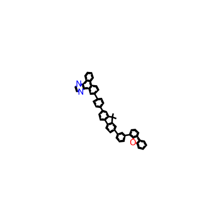 CC1(C)c2cc(-c3ccc(-c4ccc5c6ccccc6c6nccnc6c5c4)cc3)ccc2-c2ccc(-c3cccc(-c4cccc5c4oc4ccccc45)c3)cc21